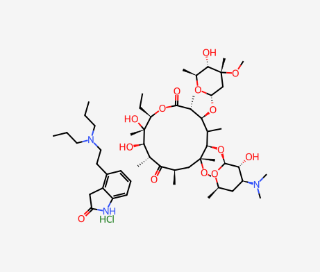 CCCN(CCC)CCc1cccc2c1CC(=O)N2.CC[C@H]1OC(=O)[C@H](C)[C@@H](O[C@H]2C[C@@](C)(OC)[C@@H](O)[C@H](C)O2)C(C)[C@@H](O[C@@H]2O[C@H](C)C[C@H](N(C)C)[C@H]2O)[C@](C)(OC)C[C@@H](C)C(=O)[C@H](C)[C@@H](O)[C@]1(C)O.Cl